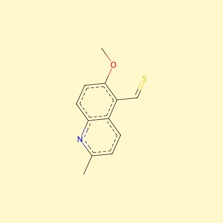 COc1ccc2nc(C)ccc2c1C=S